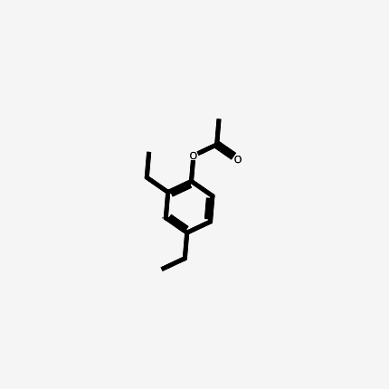 CCc1[c]c(CC)c(OC(C)=O)cc1